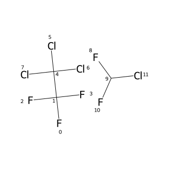 FC(F)(F)C(Cl)(Cl)Cl.FC(F)Cl